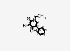 CCN1C=C(c2ccccc2)C(O)C(Br)C1=O